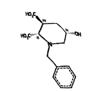 O=C(O)[C@H]1C[C@H](O)CN(Cc2ccccc2)[C@@H]1C(=O)O